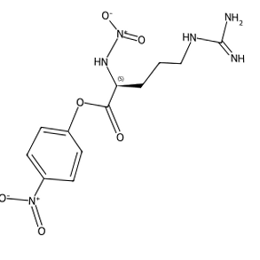 N=C(N)NCCC[C@H](N[N+](=O)[O-])C(=O)Oc1ccc([N+](=O)[O-])cc1